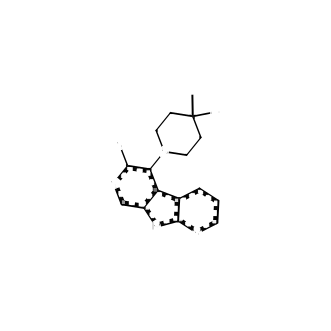 CC1(O)CCN(c2c(N)ncc3[nH]c4ncccc4c23)CC1